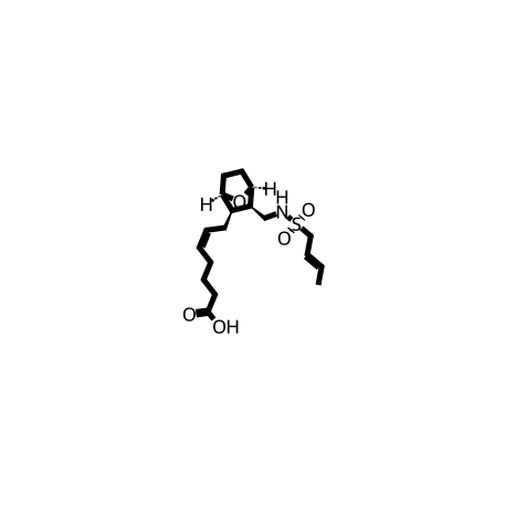 CC=CCS(=O)(=O)NC[C@H]1[C@@H](C/C=C\CCCC(=O)O)[C@H]2CC[C@@H]1O2